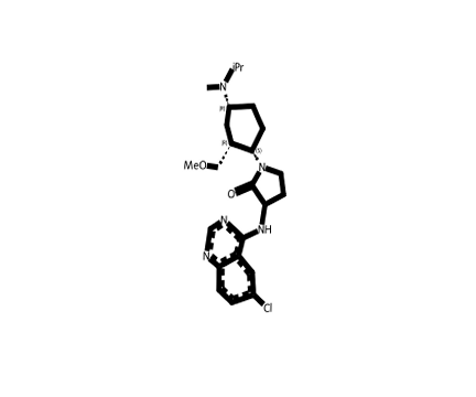 COC[C@@H]1C[C@H](N(C)C(C)C)CC[C@@H]1N1CCC(Nc2ncnc3ccc(Cl)cc23)C1=O